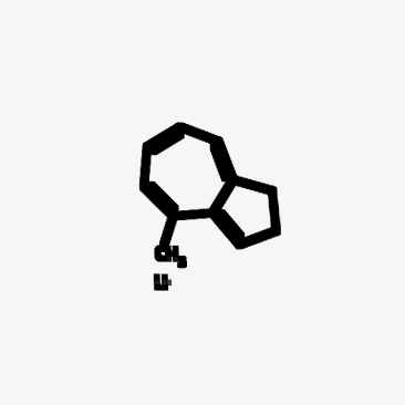 CC1=CC=CC=C2CCC=C12.[Li]